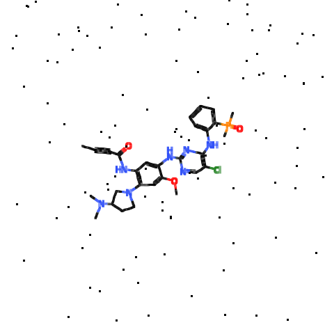 CC#CC(=O)Nc1cc(Nc2ncc(Cl)c(Nc3ccccc3P(C)(C)=O)n2)c(OC)cc1N1CCC(N(C)C)C1